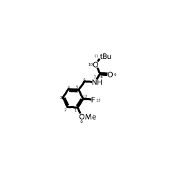 COc1cccc(CNC(=O)OC(C)(C)C)c1F